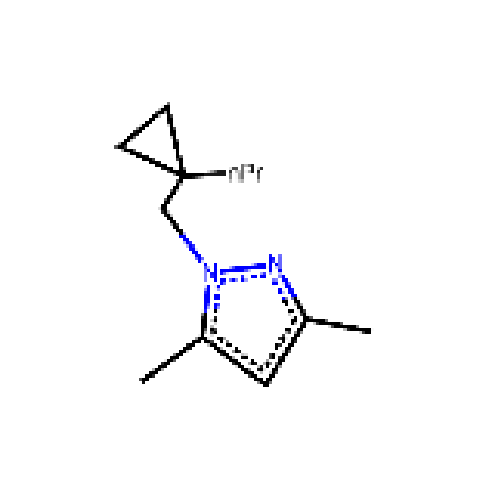 CCCC1(Cn2nc(C)cc2C)CC1